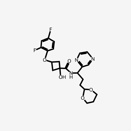 O=C(NC(CCC1OCCCO1)c1cnccn1)C1(O)CC(Oc2ccc(F)cc2F)C1